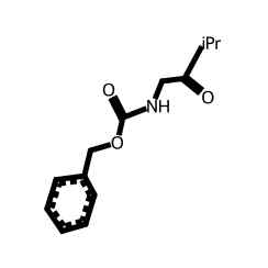 CC(C)C(=O)CNC(=O)OCc1ccccc1